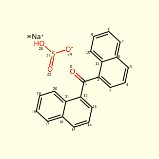 O=C(c1cccc2ccccc12)c1cccc2ccccc12.O=S([O-])O.[Na+]